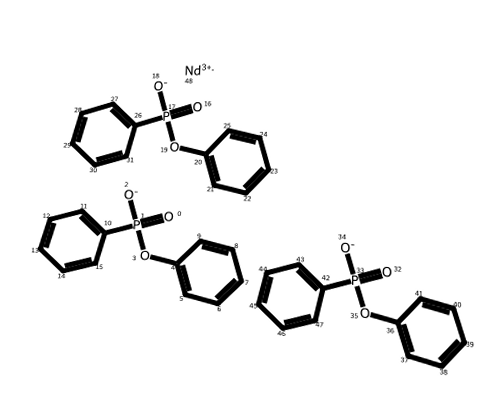 O=P([O-])(Oc1ccccc1)c1ccccc1.O=P([O-])(Oc1ccccc1)c1ccccc1.O=P([O-])(Oc1ccccc1)c1ccccc1.[Nd+3]